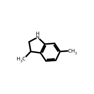 Cc1ccc2c(c1)NCC2C